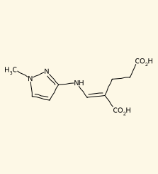 Cn1ccc(NC=C(CCC(=O)O)C(=O)O)n1